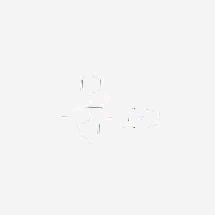 O=C(OC1CC2CCC(C1)[N+]21CCCC1)C(OCCl)(c1ccccc1)c1ccccc1